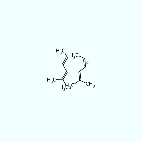 C/C=C\C=C(C)C.CC=CC=C(C)C